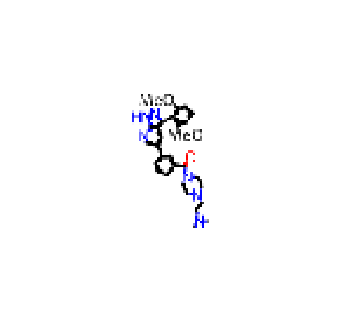 COc1cccc(OC)c1-c1n[nH]c2ncc(-c3cccc(C(=O)N4CCN(CCN(C)C)CC4)c3)cc12